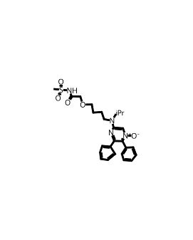 CC(C)N(CCCCOCC(=O)NS(C)(=O)=O)c1c[n+]([O-])c(-c2ccccc2)c(-c2ccccc2)n1